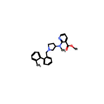 Cc1ccccc1-c1ccccc1CN1CC[C@@H](N(C)c2ncccc2C(=O)OC(C)C)C1